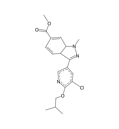 COC(=O)C1=CC2C(C=C1)C(c1cnc(OCC(C)C)c(Cl)c1)=NN2C